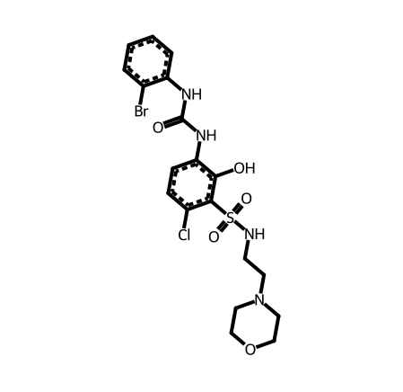 O=C(Nc1ccccc1Br)Nc1ccc(Cl)c(S(=O)(=O)NCCN2CCOCC2)c1O